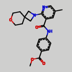 COC(=O)c1ccc(NC(=O)c2cc(C)cnc2N2CC3(CCOCC3)C2)cc1